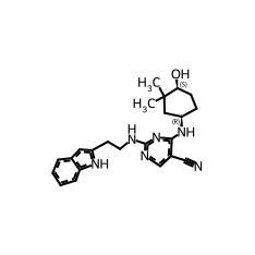 CC1(C)C[C@H](Nc2nc(NCCc3cc4ccccc4[nH]3)ncc2C#N)CC[C@@H]1O